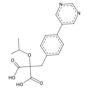 CC(C)OC(Cc1ccc(-c2cncnc2)cc1)(C(=O)O)C(=O)O